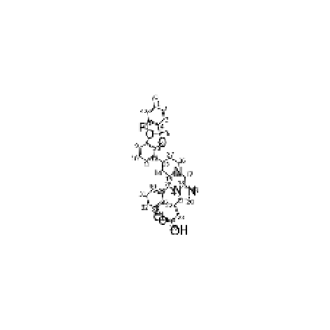 Cc1ccc(C2(C)Oc3cccc(C4CCN(Cc5ncc(/C=C/C(=O)O)n5Cc5cccc(Cl)c5)CC4)c3O2)c(F)c1